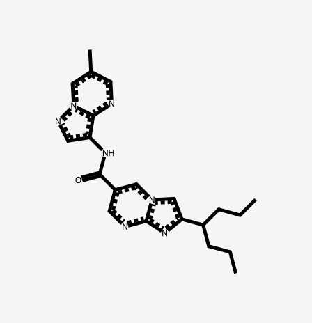 CCCC(CCC)c1cn2cc(C(=O)Nc3cnn4cc(C)cnc34)cnc2n1